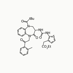 CCOC(=O)Cc1ccsc1NC(=O)NC1CN(C(=O)C(C)(C)C)c2ccccc2N(CC(=O)c2ccccc2C)C1=O